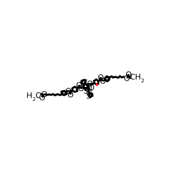 C=CC(=O)OCCCCCCCc1ccc(OC(=O)C2CCC(C(=O)Oc3c4ccccc4c(OC(=O)C4CCC(C(=O)Oc5ccc(CCCCCCCOC(=O)C=C)cc5)CC4)c4sc(-c5cccs5)nc34)CC2)cc1